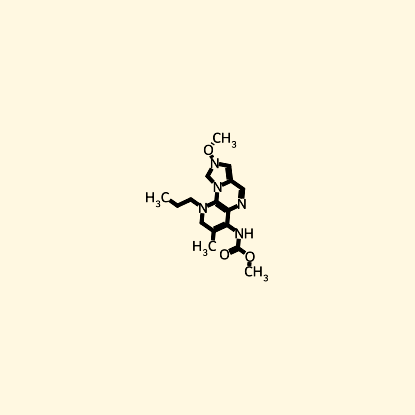 CCCN1CC(C)=C(NC(=O)OC)C2=C1N1CN(OC)C=C1C=N2